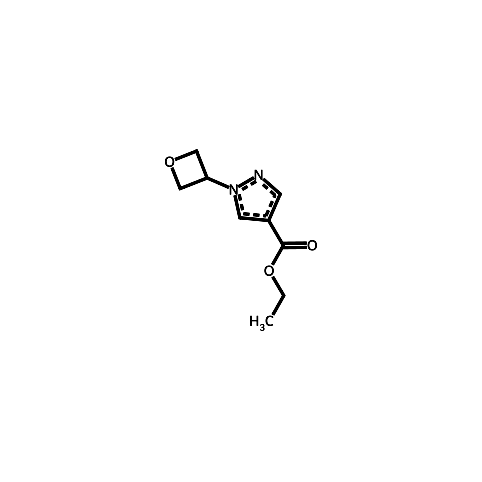 CCOC(=O)c1cnn(C2COC2)c1